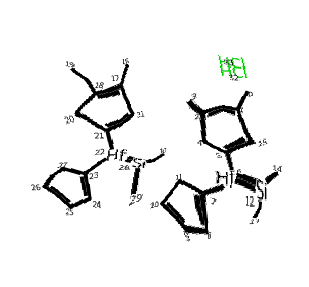 CC1=C(C)C[C]([Hf]([C]2=CC=CC2)=[Si](C)C)=C1.CC1=C(C)C[C]([Hf]([C]2=CC=CC2)=[Si](C)C)=C1.Cl.Cl